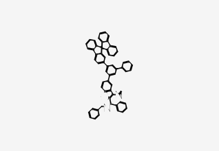 C=Nc1c(/C(=N\Cc2ccccc2)c2ccccc2)oc2ccc(-c3cc(-c4ccccc4)cc(-c4ccc5c(c4)C4(c6ccccc6-c6ccccc64)c4ccccc4-5)c3)cc12